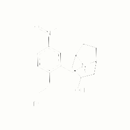 COc1ccc([N+](=O)[O-])cc1C[N+]1(C)C2CCC1CC(O)C2.[Br-]